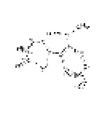 COC(=O)c1ccc(Cl)cc1C1CCNC(=O)C1